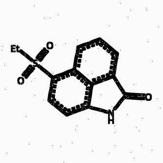 CCS(=O)(=O)c1ccc2c3c(cccc13)C(=O)N2